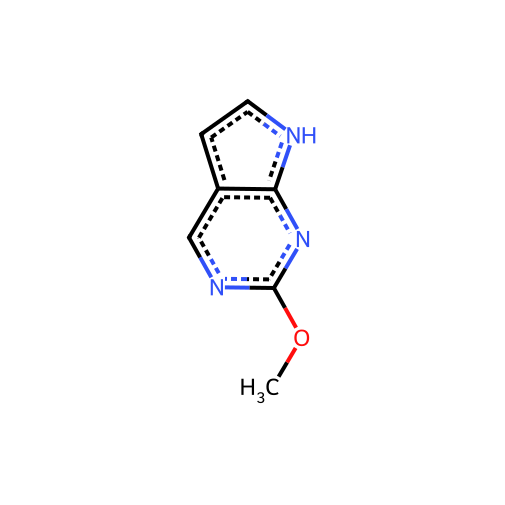 COc1ncc2cc[nH]c2n1